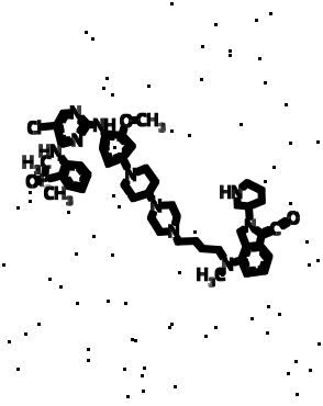 COc1cc(N2CCC(N3CCN(CCCCN(C)c4cccc5c4CN(C4CCCNC4)C5=C=O)CC3)CC2)ccc1Nc1ncc(Cl)c(Nc2ccccc2P(C)(C)=O)n1